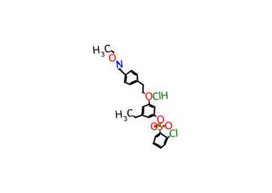 CCON=Cc1ccc(CCOc2cc(CC)cc(OS(=O)(=O)c3ccccc3Cl)c2)cc1.Cl